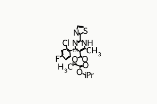 CC1=C(C(=O)O[C@H](C)C(=O)OC(C)C)[C@@H](c2ccc(F)cc2Cl)N=C(c2nccs2)N1